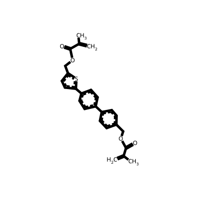 C=C(C)C(=O)OCc1ccc(-c2ccc(-c3ccc(COC(=O)C(=C)C)s3)cc2)cc1